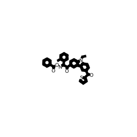 CCn1c2ccc(C(=O)/C(=N/OC(=O)c3ccccc3)c3ccccc3C)cc2c2cc(C(=O)c3cccs3)ccc21